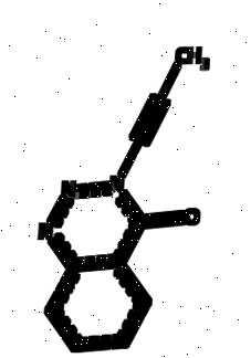 CC#Cn1nnc2ccccc2c1=O